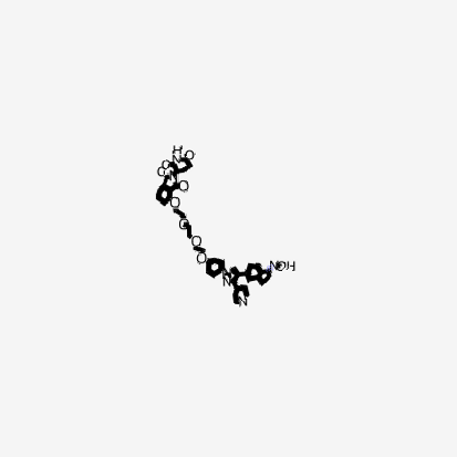 O=C1CCC(N2C(=O)c3cccc(OCCOCCOCCOc4ccc(-n5cc(-c6ccc7c(c6)CC/C7=N\O)c(-c6ccncc6)n5)cc4)c3C2=O)C(=O)N1